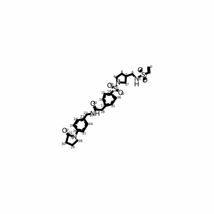 C=CS(=O)(=O)NCC1CCN(S(=O)(=O)c2ccc(CC(=O)NCc3ccc(N4CCCC4=O)cc3)cc2)C1